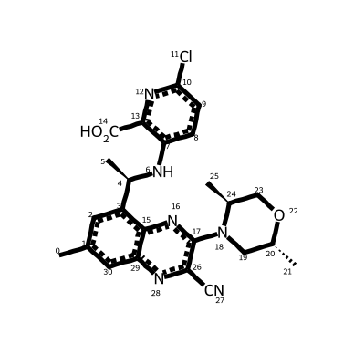 Cc1cc([C@@H](C)Nc2ccc(Cl)nc2C(=O)O)c2nc(N3C[C@@H](C)OC[C@@H]3C)c(C#N)nc2c1